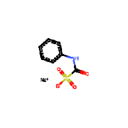 O=C(Nc1ccccc1)S(=O)(=O)[O-].[Na+]